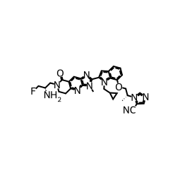 C[C@H](COc1cccc2cc(-c3nc4cc5c(nc4n3C)CCN(C[C@H](N)CF)C5=O)n(CC3CC3)c12)n1cncc1C#N